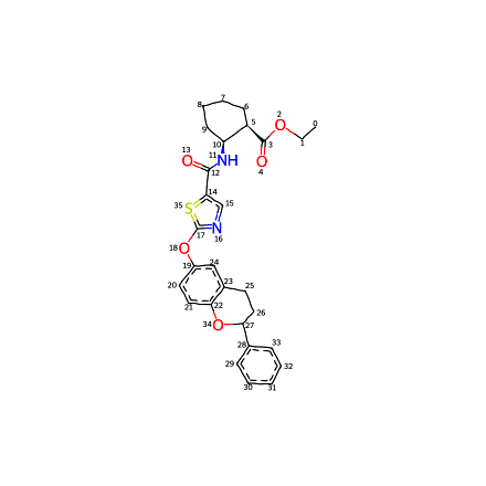 CCOC(=O)[C@@H]1CCCC[C@@H]1NC(=O)c1cnc(Oc2ccc3c(c2)CCC(c2ccccc2)O3)s1